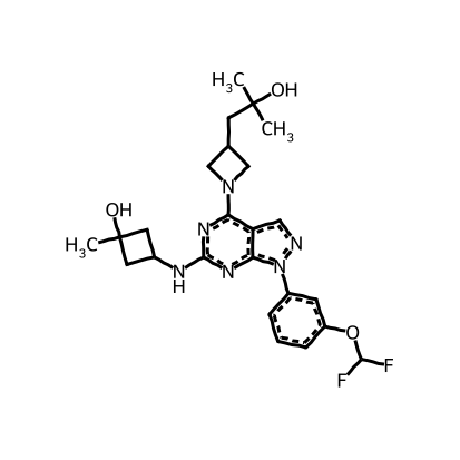 CC(C)(O)CC1CN(c2nc(NC3CC(C)(O)C3)nc3c2cnn3-c2cccc(OC(F)F)c2)C1